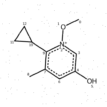 CO[n+]1cc(O)cc(C)c1C1CC1